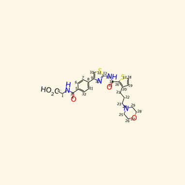 O=C(O)CNC(=O)c1ccc(-c2csc(NC(=O)c3sccc3CCCN3CCOCC3)n2)cc1